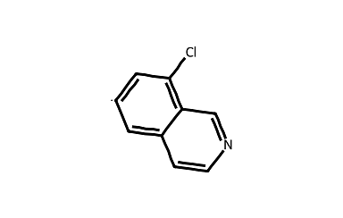 Clc1c[c]cc2ccncc12